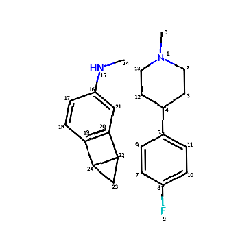 CN1CCC(c2ccc(F)cc2)CC1.CNc1ccc2c(c1)C1CC21